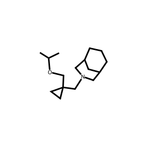 CC(C)OCC1(CN2CC3CCCC(C3)C2)CC1